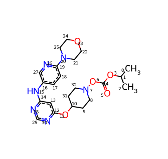 CC(C)OC(=O)ON1CCC(Oc2cc(Nc3ccc(N4CCOCC4)nc3)ncn2)CC1